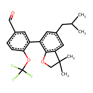 CC(C)Cc1cc(-c2cc(C=O)ccc2OC(F)(F)F)c2c(c1)C(C)(C)CO2